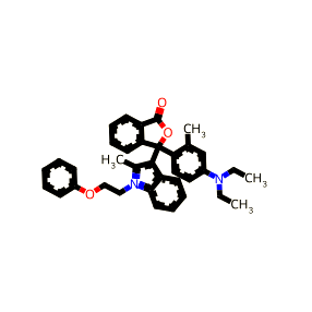 CCN(CC)c1ccc(C2(c3c(C)n(CCOc4ccccc4)c4ccccc34)OC(=O)c3ccccc32)c(C)c1